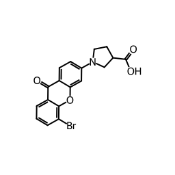 O=C(O)C1CCN(c2ccc3c(=O)c4cccc(Br)c4oc3c2)C1